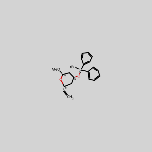 C=C[C@H]1C[C@H](O[Si](c2ccccc2)(c2ccccc2)C(C)(C)C)C[C@H](OC)O1